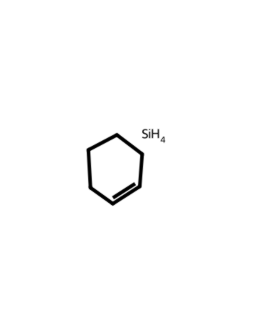 C1=CCCCC1.[SiH4]